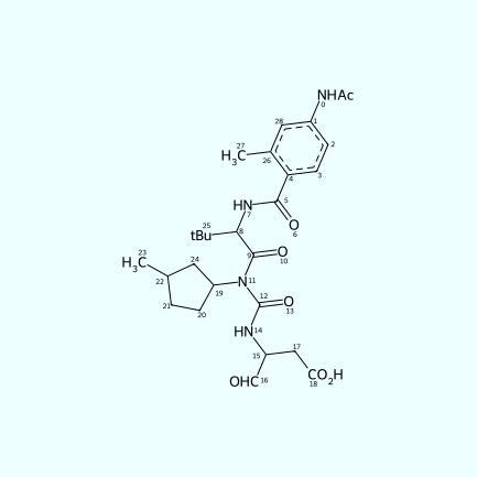 CC(=O)Nc1ccc(C(=O)NC(C(=O)N(C(=O)NC(C=O)CC(=O)O)C2CCC(C)C2)C(C)(C)C)c(C)c1